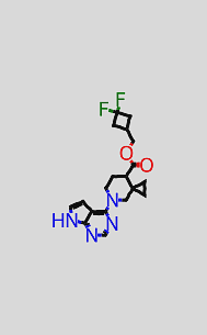 O=C(OCC1CC(F)(F)C1)C1CCN(c2ncnc3[nH]ccc23)CC12CC2